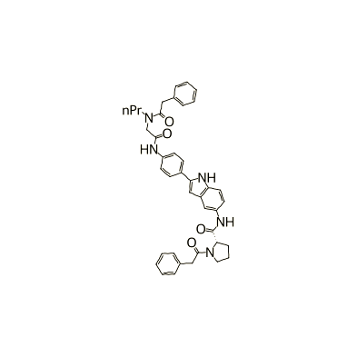 CCCN(CC(=O)Nc1ccc(-c2cc3cc(NC(=O)[C@@H]4CCCN4C(=O)Cc4ccccc4)ccc3[nH]2)cc1)C(=O)Cc1ccccc1